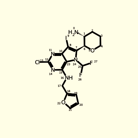 N[C@@H]1CCCO[C@H]1c1c(I)c2nc(Cl)nc(NCc3ccco3)c2n1C(F)F